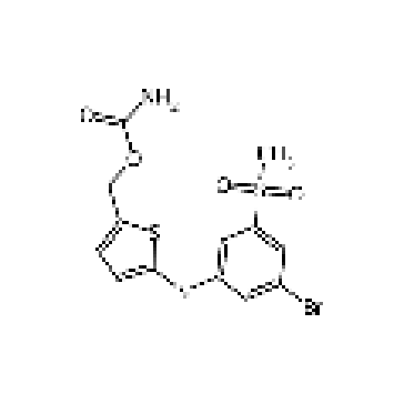 CS(=O)(=O)c1cc(Br)cc(Sc2ccc(COC(N)=O)s2)c1